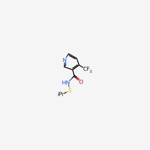 CC(C)SNC(=O)c1cnccc1C(F)(F)F